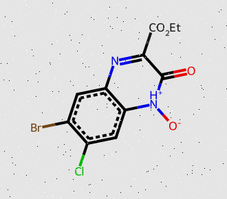 CCOC(=O)C1=Nc2cc(Br)c(Cl)cc2[NH+]([O-])C1=O